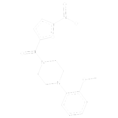 COc1ccccc1N1CCN(C(=O)c2ccc([N+](=O)[O-])o2)CC1